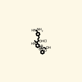 Cc1[nH]c2ccc(S(=O)(=O)N(CC(=O)O)c3ccccc3)cc2c1C(=O)CCc1ccc(C(=N)N)cc1.Cl